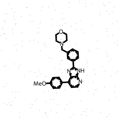 COc1ccc(-c2ccnc3[nH]c(-c4cccc(CN5CCOCC5)c4)nc23)cc1